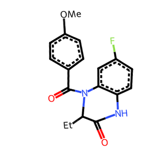 CCC1C(=O)Nc2ccc(F)cc2N1C(=O)c1ccc(OC)cc1